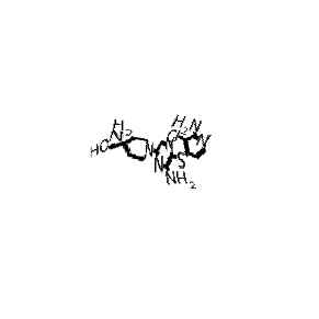 Nc1nc(N2CCC(N)(CO)CC2)cnc1Sc1ccnc(N)c1Cl